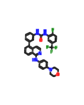 O=C(Nc1cccc(-c2cccc3c(Nc4ccc(N5CCOCC5)cc4)nccc23)c1)Nc1cc(C(F)(F)F)ccc1F